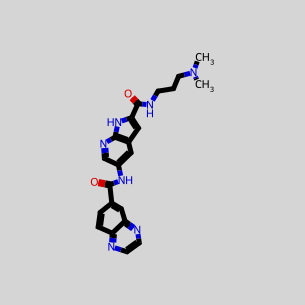 CN(C)CCCNC(=O)c1cc2cc(NC(=O)c3ccc4nccnc4c3)cnc2[nH]1